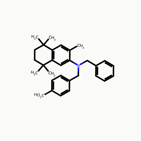 Cc1cc2c(cc1N(Cc1ccccc1)Cc1ccc(C(=O)O)cc1)C(C)(C)CCC2(C)C